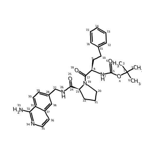 CC(C)(C)OC(=O)N[C@H](CCc1ccccc1)C(=O)N1CCC[C@H]1C(=O)NCc1ccc2c(N)nccc2c1